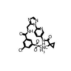 CS(=O)(=O)c1cc(Cl)cc(C(=O)NCc2ncnn2-c2ccc(NC(=O)C3(C#N)CC3)cn2)c1